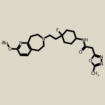 CCC(C)Oc1ccc2c(n1)CCN(CCC1(F)CCC(NC(=O)Cc3nnc(C)o3)CC1)CC2